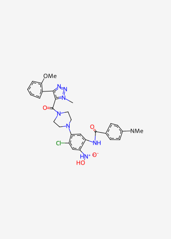 CNc1ccc(C(=O)Nc2cc(N3CCN(C(=O)c4c(-c5ccccc5OC)nnn4C)CC3)c(Cl)cc2[NH+]([O-])O)cc1